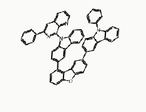 c1ccc(-c2cc3cccnc3c(-n3c4ccccc4c4cc(-c5cccc6oc7ccc(-c8ccc9c(c8)c8ccccc8n9-c8ccccc8)cc7c56)ccc43)n2)cc1